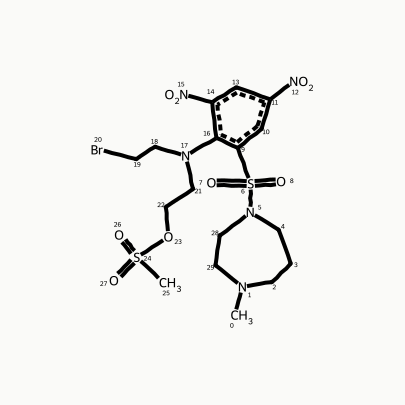 CN1CCCN(S(=O)(=O)c2cc([N+](=O)[O-])cc([N+](=O)[O-])c2N(CCBr)CCOS(C)(=O)=O)CC1